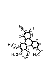 COc1cc(-n2c(-c3ccc(SC)cc3)nc(S)c(C#N)c2=O)cc(OC)c1OC